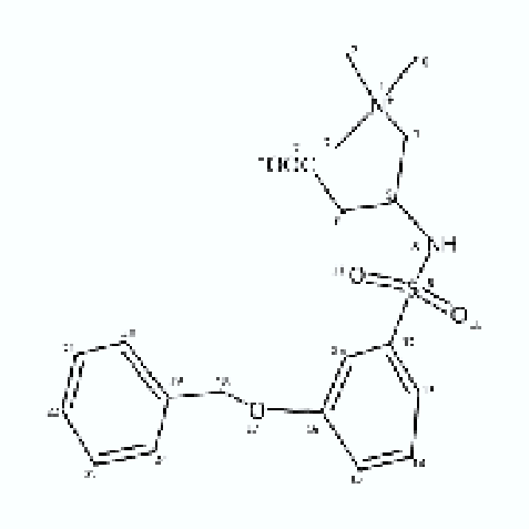 C[N+](C)(C)CC(CC(=O)[O-])NS(=O)(=O)c1cccc(OCc2ccccc2)c1